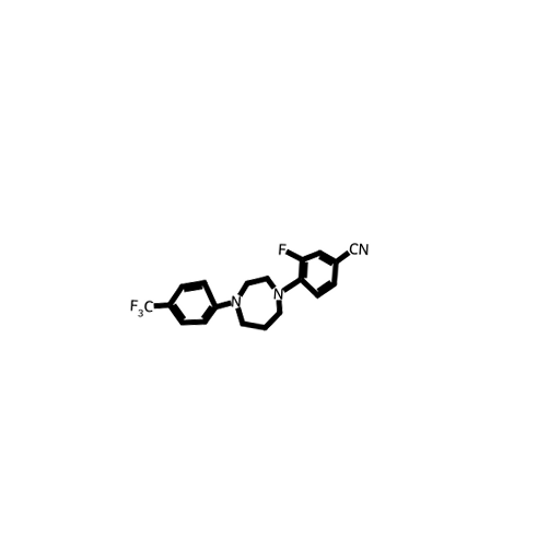 N#Cc1ccc(N2CCCN(c3ccc(C(F)(F)F)cc3)CC2)c(F)c1